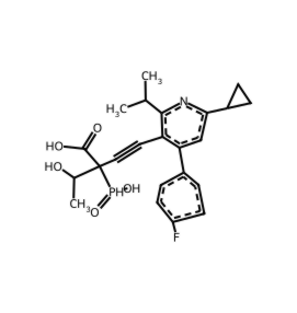 CC(C)c1nc(C2CC2)cc(-c2ccc(F)cc2)c1C#CC(C(=O)O)(C(C)O)[PH](=O)O